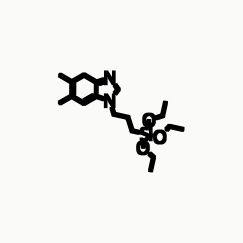 CCO[Si](CCCN1CN=C2CC(C)=C(C)C=C21)(OCC)OCC